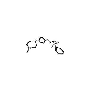 CN1CCC(Sc2ccc(CONS(=O)(=O)c3ccccc3)cc2)CC1